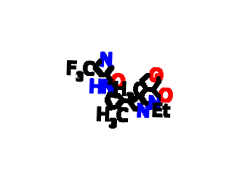 CCN1C(=O)C2COCCC2(C)c2cc(-c3cc(NC(=O)c4cncc(C(F)(F)F)c4)ccc3C)cnc21